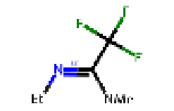 CC/N=C(\NC)C(F)(F)F